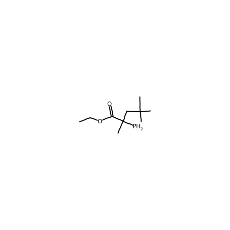 CCOC(=O)C(C)(P)CC(C)(C)C